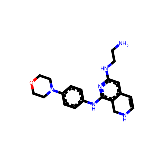 NCCNc1cc2c(c(Nc3ccc(N4CCOCC4)cc3)n1)CNC=C2